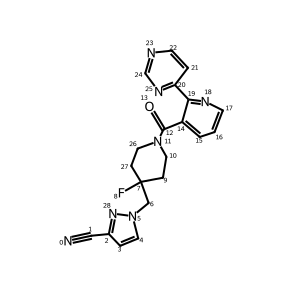 N#Cc1ccn(CC2(F)CCN(C(=O)c3cccnc3-c3ccncn3)CC2)n1